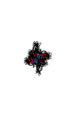 CCC(C)COc1ccc(-c2c3/c(=C(\C#N)c4nc5ccccc5o4)n(B(c4ccccc4)c4ccccc4)c(-c4ccc(OCC(C)CC)cc4)c3/c(=C(\C#N)c3nc4ccccc4o3)n2B(c2ccccc2)c2ccccc2)cc1